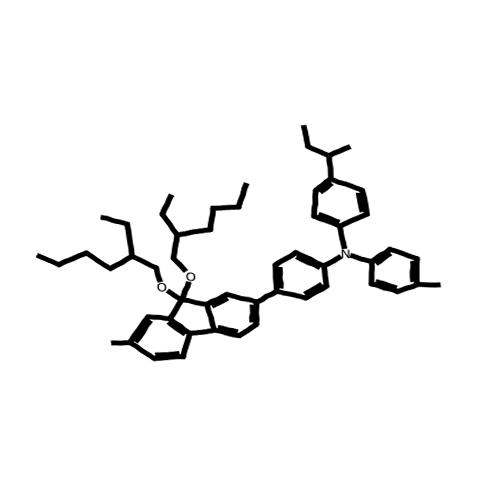 CCCCC(CC)COC1(OCC(CC)CCCC)c2cc(C)ccc2-c2ccc(-c3ccc(N(c4ccc(C)cc4)c4ccc(C(C)CC)cc4)cc3)cc21